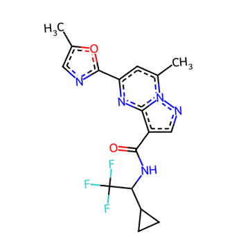 Cc1cnc(-c2cc(C)n3ncc(C(=O)NC(C4CC4)C(F)(F)F)c3n2)o1